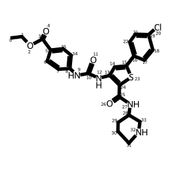 CCOC(=O)c1ccc(NC(=O)Nc2cc(-c3ccc(Cl)cc3)sc2C(=O)NC2CCCNC2)cc1